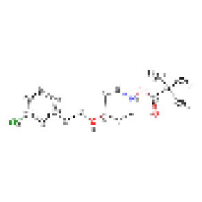 CC(C)(C)C(=O)ON1CCC(OCCc2cccc(Cl)c2)CC1